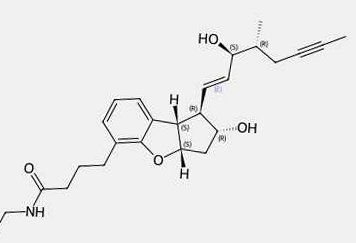 CC#CC[C@@H](C)[C@H](O)/C=C/[C@@H]1[C@H]2c3cccc(CCCC(=O)NCC)c3O[C@H]2C[C@H]1O